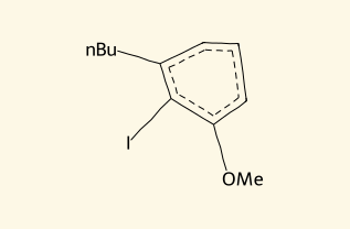 CCCCc1cccc(OC)c1I